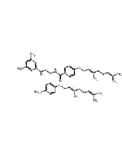 CC(C)=CCC/C(C)=C/COc1ccc(C(=O)NCCNc2cc(C)cc(C)n2)cc1.CC(C)=CCC/C(C)=C/COc1ccc(C(=O)O)cc1